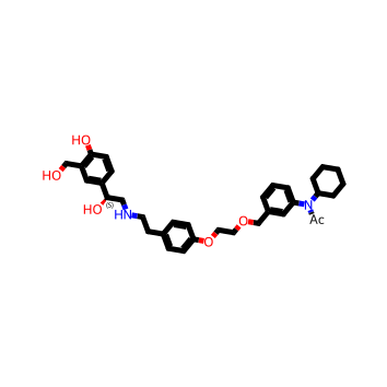 CC(=O)N(c1cccc(COCCOc2ccc(CCNC[C@@H](O)c3ccc(O)c(CO)c3)cc2)c1)C1CCCCC1